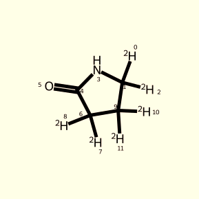 [2H]C1([2H])NC(=O)C([2H])([2H])C1([2H])[2H]